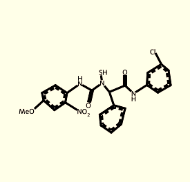 COc1ccc(NC(=O)N(S)C(C(=O)Nc2cccc(Cl)c2)c2ccccc2)c([N+](=O)[O-])c1